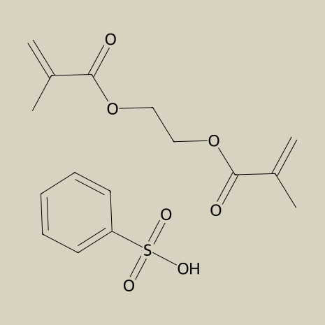 C=C(C)C(=O)OCCOC(=O)C(=C)C.O=S(=O)(O)c1ccccc1